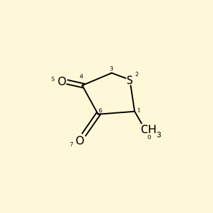 CC1SCC(=O)C1=O